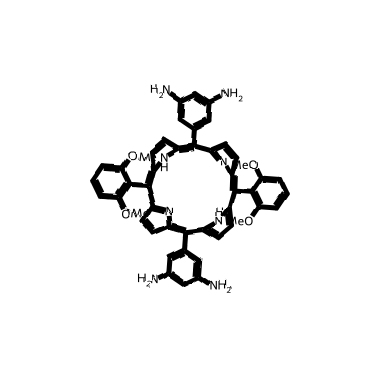 COc1cccc(OC)c1-c1c2nc(c(-c3cc(N)cc(N)c3)c3ccc([nH]3)c(-c3c(OC)cccc3OC)c3nc(c(-c4cc(N)cc(N)c4)c4ccc1[nH]4)C=C3)C=C2